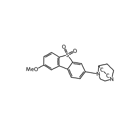 [11CH3]Oc1ccc2c(c1)-c1ccc(N3CCN4CCC3CC4)cc1S2(=O)=O